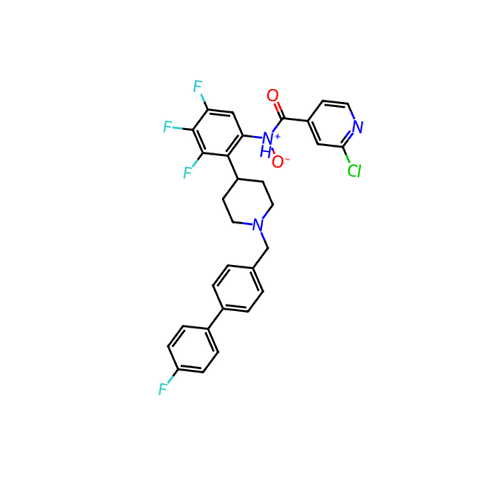 O=C(c1ccnc(Cl)c1)[NH+]([O-])c1cc(F)c(F)c(F)c1C1CCN(Cc2ccc(-c3ccc(F)cc3)cc2)CC1